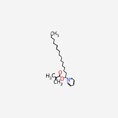 C=C(C)C(=O)OC(CCCCCCCCCCCCCCC)[n+]1ccccc1